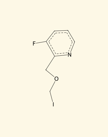 Fc1cccnc1COCI